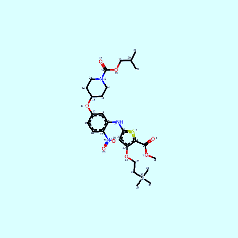 COC(=O)c1sc(Nc2cc(OC3CCN(C(=O)OCC(C)C)CC3)ccc2[N+](=O)[O-])cc1OCC[Si](C)(C)C